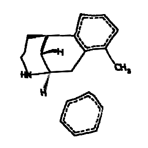 Cc1cccc2c1C[C@H]1NCC[C@@]23CCCC[C@@H]13.c1ccccc1